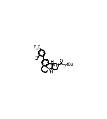 CC(C)(C)OC(=O)N1CC[C@H]2[C@@H](C1)c1cc(-c3ccc(C(F)(F)F)cc3Cl)cc3c1N2CCC3